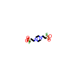 O=S(=O)(F)CCN1CCN(CCS(=O)(=O)F)CC1